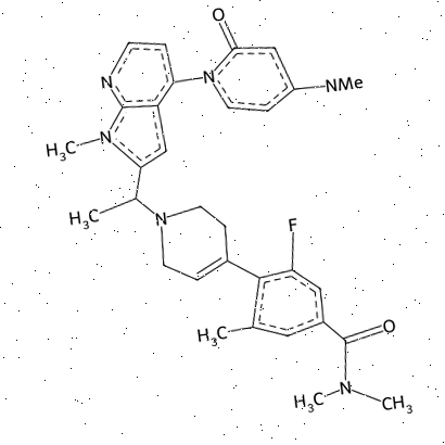 CNc1ccn(-c2ccnc3c2cc(C(C)N2CC=C(c4c(C)cc(C(=O)N(C)C)cc4F)CC2)n3C)c(=O)c1